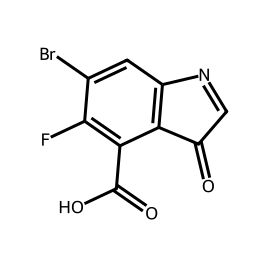 O=C1C=Nc2cc(Br)c(F)c(C(=O)O)c21